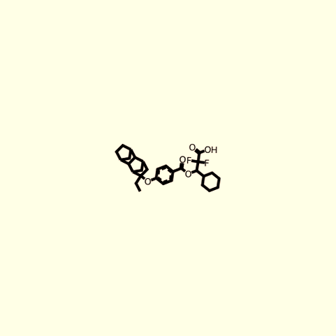 CCC1(Oc2ccc(C(=O)OC(C3CCCCC3)C(F)(F)C(=O)O)cc2)CC2CC1C1C3CCC(C3)C21